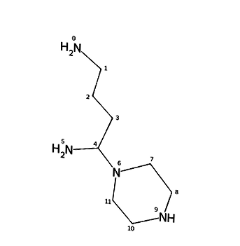 NCCCC(N)N1CCNCC1